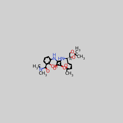 Cc1ccc(C(Nc2c(Nc3cccc(C(=O)N(C)C)c3O)c(=O)c2=O)[C@@H]2COC(C)(C)O2)o1